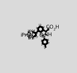 Cc1ccc([S@@+]([O-])NC(CC(=O)O)c2cccc(-c3ccn([Si](C(C)C)(C(C)C)C(C)C)c3)c2)cc1